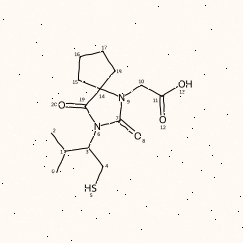 CC(C)C(CS)N1C(=O)N(CC(=O)O)C2(CCCC2)C1=O